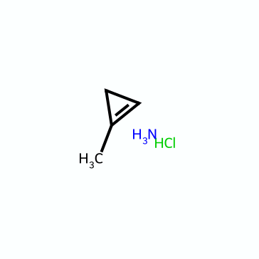 CC1=CC1.Cl.N